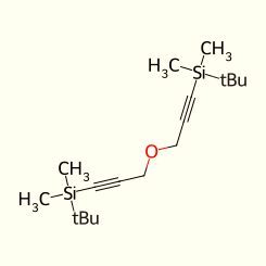 CC(C)(C)[Si](C)(C)C#CCOCC#C[Si](C)(C)C(C)(C)C